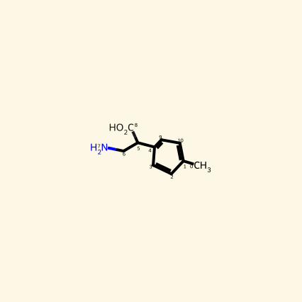 Cc1ccc(C(CN)C(=O)O)cc1